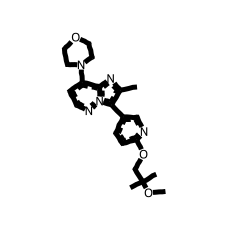 COC(C)(C)COc1ccc(-c2c(C)nc3c(N4CCOCC4)ccnn23)cn1